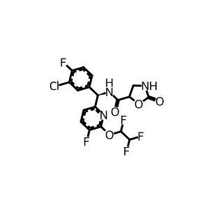 O=C1NCC(C(=O)N[C@H](c2ccc(F)c(Cl)c2)c2ccc(F)c(OC(F)C(F)F)n2)O1